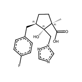 C[C@@]1(C(=O)O)CC[C@H](Cc2ccc(F)cc2)[C@]1(O)Cn1cncn1